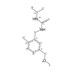 C=C(NCc1cc(COC)ccc1C)NC(C)C